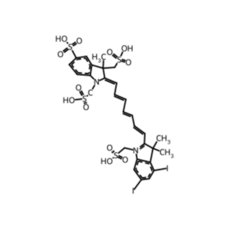 CC1(C)C(/C=C/C=C/C=C/C=C2\N(CS(=O)(=O)O)c3ccc(S(=O)(=O)O)cc3C2(C)CS(=O)(=O)O)=[N+](CS(=O)(=O)O)c2cc(I)cc(I)c21